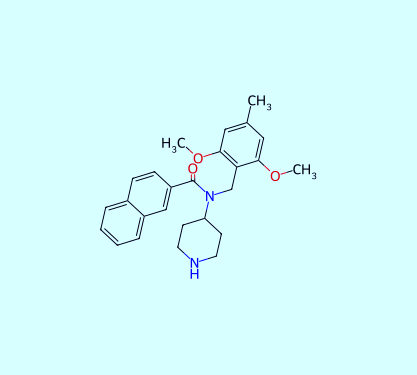 COc1cc(C)cc(OC)c1CN(C(=O)c1ccc2ccccc2c1)C1CCNCC1